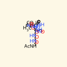 CC(=O)NCCC(=O)NCCC(=O)NCCCC[C@H](NC(=O)C1CCC(=O)N1)C(=O)NC(Cc1c[nH]c2ccccc12)C(=O)NC(C)C(=O)N1CCCC1C(=O)O